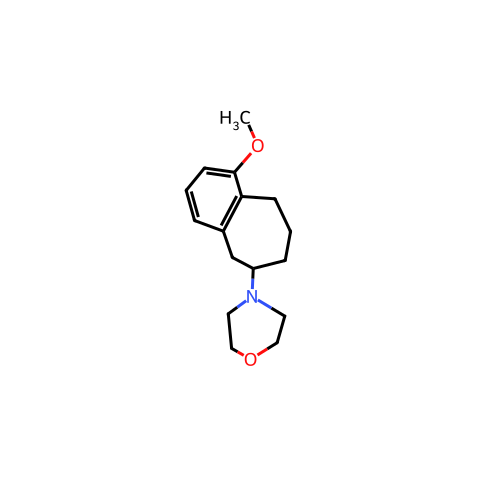 COc1cccc2c1CCCC(N1CCOCC1)C2